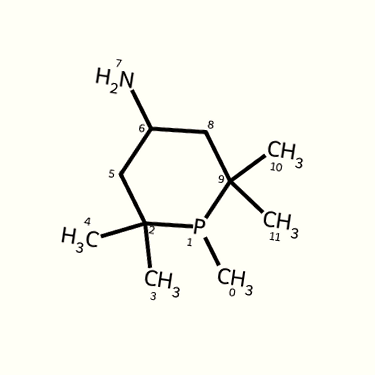 CP1C(C)(C)CC(N)CC1(C)C